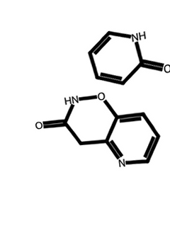 O=C1Cc2ncccc2ON1.O=c1cccc[nH]1